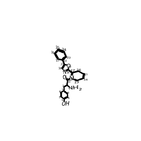 NC(Cc1ccc(O)cc1)C(=O)N1CCCCC1c1ncc(-c2ccccc2)o1